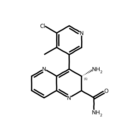 Cc1c(Cl)cncc1C1=c2ncccc2=NC(C(N)=O)[C@H]1N